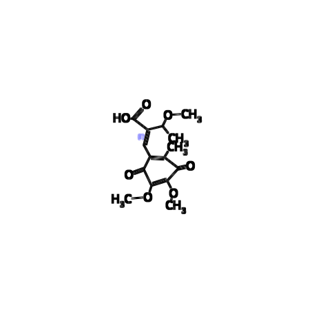 COC1=C(OC)C(=O)C(/C=C(/C(=O)O)C(C)OC)=C(C)C1=O